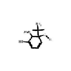 CCOC1(C(C)(C)N)C=CC=C(O)C1NC